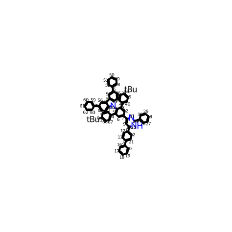 CC(C)(C)c1ccc(-c2cc(C3=CC(c4ccc(-c5ccccc5)cc4)NC(c4ccccc4)=N3)cc(-c3ccc(C(C)(C)C)cc3)c2-n2c3ccc(-c4ccccc4)cc3c3cc(-c4ccccc4)ccc32)cc1